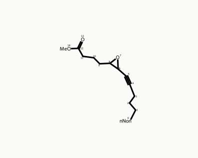 CCCCCCCCCCCCC#CC1OC1CCCC(=O)OC